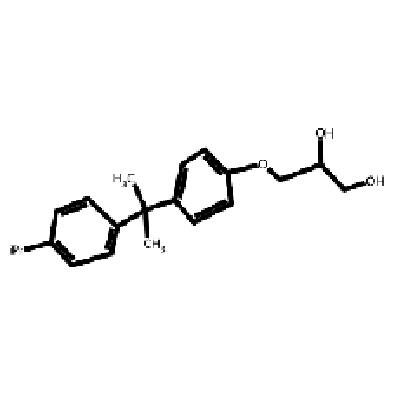 CC(C)c1ccc(C(C)(C)c2ccc(OCC(O)CO)cc2)cc1